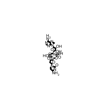 Nc1ccn(C2CC(OP(=O)(O)OC[C@H]3O[C@@H](n4cnc5c(N)ncnc54)C(O)C3O)[C@@H](COP(=O)(O)O)O2)c(=O)n1